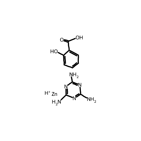 Nc1nc(N)nc(N)n1.O=C(O)c1ccccc1O.[H+].[Zn]